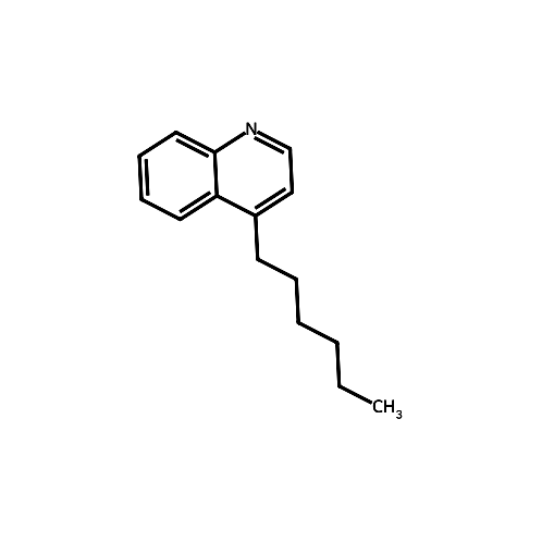 CCCCCCc1ccnc2ccccc12